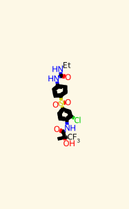 CCNC(=O)Nc1ccc(S(=O)(=O)c2ccc(NC(=O)C(C)(O)C(F)(F)F)c(Cl)c2)cc1